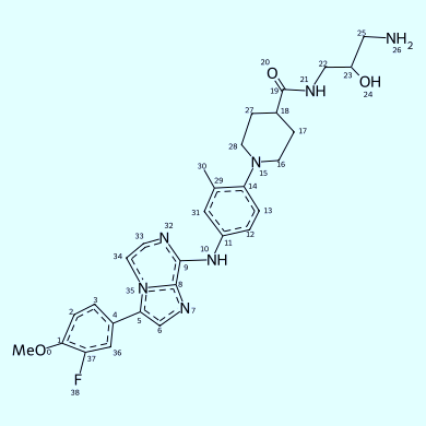 COc1ccc(-c2cnc3c(Nc4ccc(N5CCC(C(=O)NCC(O)CN)CC5)c(C)c4)nccn23)cc1F